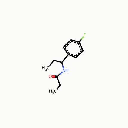 CCC(=O)NC(CC)c1ccc(F)cc1